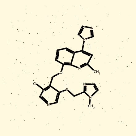 Cc1cc(-n2ccnc2)c2cccc(OCc3c(Cl)cncc3SCc3nccn3C)c2n1